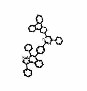 c1ccc(-c2cc(-c3ccc4c5ccccc5c5ccccc5c4c3)nc(-c3ccc(-c4c(-c5ccccc5)n5ncc(-c6ccccc6)c5c5ccccc45)cc3)n2)cc1